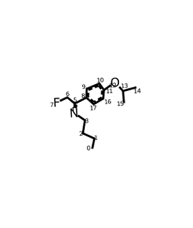 CCCC/N=C(/CF)c1ccc(OC(C)C)cc1